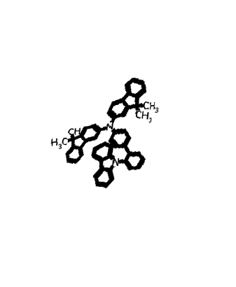 CC1(C)c2ccccc2-c2cc(N(c3ccc(-c4ccccc4-n4c5ccccc5c5ccccc54)cc3)c3ccc4c(c3)C(C)(C)c3ccccc3-4)ccc21